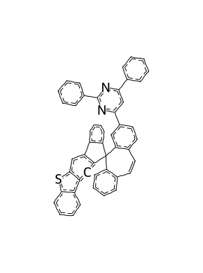 C1=Cc2ccc(-c3cc(-c4ccccc4)nc(-c4ccccc4)n3)cc2C2(c3ccccc31)c1ccccc1-c1cc3sc4ccccc4c3cc12